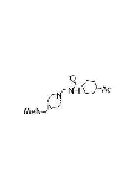 CNCN1CCN(CNC(=O)C2CCC(C(C)=O)CC2)CC1